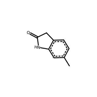 Cc1[c]c2c(cc1)CC(=O)N2